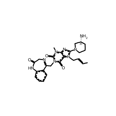 CC=CCn1c(N2CCC[C@@H](N)C2)nc2c1c(=O)n(CC1=NCC(=O)Nc3ccccc31)c(=O)n2C